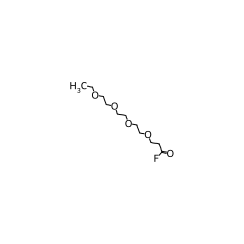 CCOCCOCCOCCOCCC(=O)F